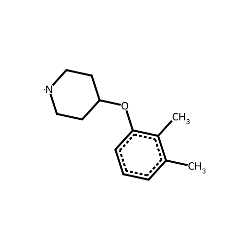 Cc1cccc(OC2CC[N]CC2)c1C